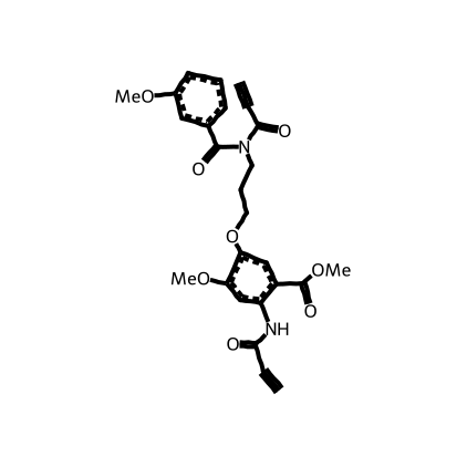 C#CC(=O)Nc1cc(OC)c(OCCCN(C(=O)C#C)C(=O)c2cccc(OC)c2)cc1C(=O)OC